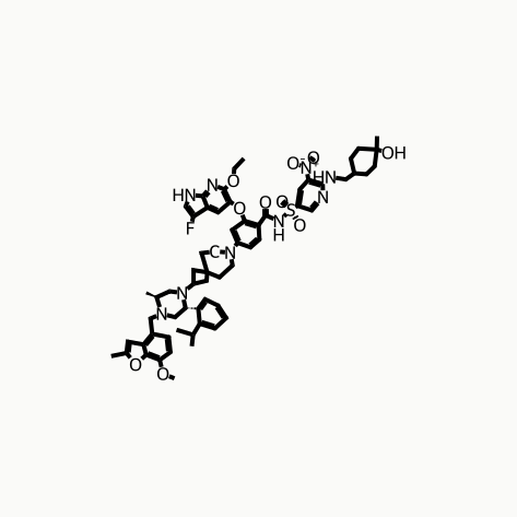 CCOc1nc2[nH]cc(F)c2cc1Oc1cc(N2CCC3(CC2)CC(N2C[C@H](C)N(Cc4ccc(OC)c5oc(C)cc45)C[C@H]2c2ccccc2C(C)C)C3)ccc1C(=O)NS(=O)(=O)c1cnc(NCC2CCC(C)(O)CC2)c([N+](=O)[O-])c1